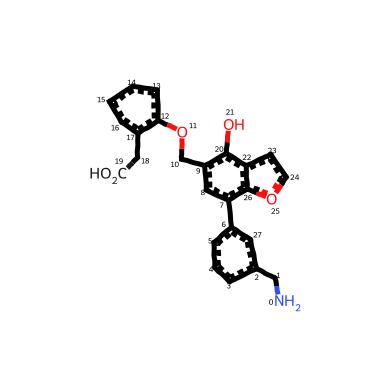 NCc1cccc(-c2cc(COc3ccccc3CC(=O)O)c(O)c3ccoc23)c1